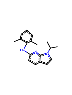 Cc1cccc(C)c1Nc1ccc2ccn(C(C)C)c2n1